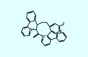 C=C1C2C(CCc3cc(F)c(F)cc3-c3c(-c4ccccc4)ccc[n+]31)c1ccccc1-c1cccc[n+]12